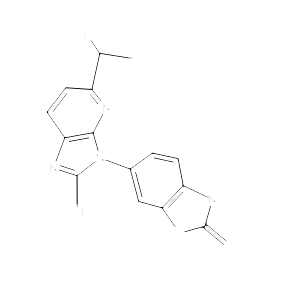 O=c1[nH]c2ccc(-n3c(C(F)(F)F)nc4ccc(C(F)F)nc43)cc2s1